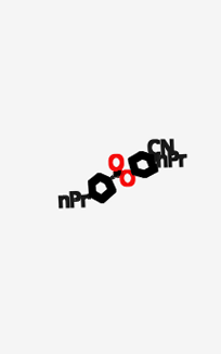 CCC[C@H]1CC[C@H](C(=O)O[C@H]2CC[C@](C#N)(CCC)CC2)CC1